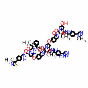 CC[C@H](C)[C@H](NC(C)c1ccccc1)C(=O)N1C[C@H](Oc2ccc3c(c2)C(=O)N([C@H](C(=O)N2C[C@H](Oc4ccc5c(c4)C(=O)N([C@H](C(=O)N4C[C@H](O)C[C@H]4C(=O)NCc4ccc(-c6cncn6C)cc4)C(C)C)C5)C[C@H]2C(=O)NCc2ccc(-c4cnn[nH]4)cc2)C(C)C)C3)C[C@H]1C(=O)NCc1ccc(-c2scnc2C)cc1